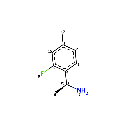 Cc1ccc([C@H](C)N)c(F)c1